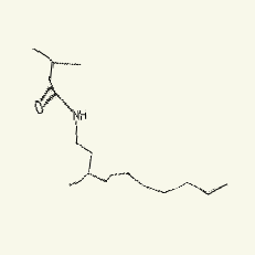 CCCCCCC(C)CCNC(=O)C(C)C